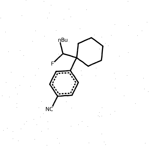 CCCCC(F)C1(c2ccc(C#N)cc2)CCCCC1